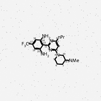 CCCc1cc(N2CCCC(NC)C2)nc(-c2c(N)cc(C(F)(F)F)cc2N)n1